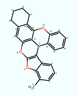 Cc1cccc2c3c(oc12)Oc1cc2c(c4c1B3c1ccccc1O4)CCCC2